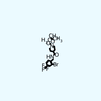 CC(C)(C)OC(=O)N1CCC(C(=O)NCc2ccc(C(F)(F)F)cc2Br)CC1